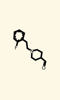 O=CC1CCN(CCc2ccccc2F)CC1